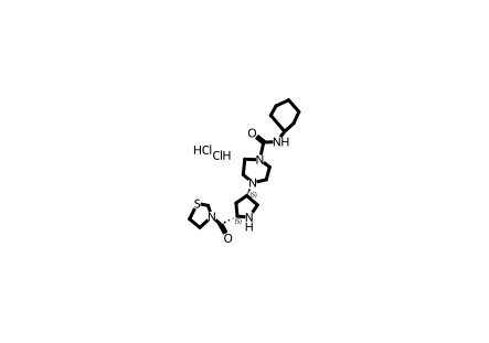 Cl.Cl.O=C(NC1CCCCC1)N1CCN([C@@H]2CN[C@H](C(=O)N3CCSC3)C2)CC1